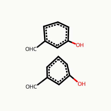 O=Cc1cccc(O)c1.O=Cc1cccc(O)c1